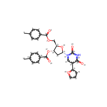 Cc1ccc(C(=O)OC[C@H]2O[C@H](n3cc(-c4ccco4)c(=O)[nH]c3=O)C[C@@H]2OC(=O)c2ccc(C)cc2)cc1